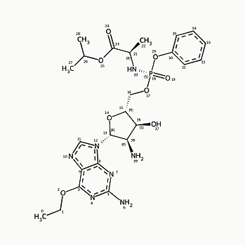 CCOc1nc(N)nc2c1ncn2[C@@H]1O[C@H](CO[P@@](=O)(N[C@H](C)C(=O)OC(C)C)Oc2ccccc2)[C@@H](O)[C@H]1N